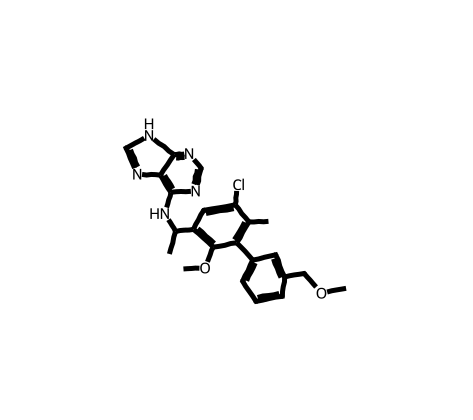 COCc1cccc(-c2c(C)c(Cl)cc(C(C)Nc3ncnc4[nH]cnc34)c2OC)c1